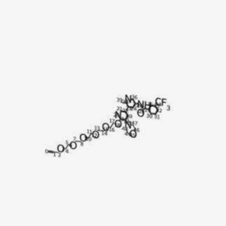 C#CCOCCOCCOCCOCCOCCOc1ncc(-c2cc(NC(=O)c3cccc(C(F)(F)F)c3)cnc2C)cc1N1CCOCC1